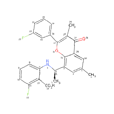 Cc1cc([C@@H](C)Nc2cccc(F)c2C(=O)O)c2oc(-c3cccc(F)c3)c(C)c(=O)c2c1